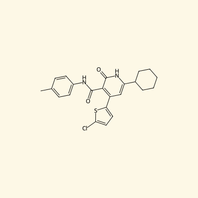 Cc1ccc(NC(=O)c2c(-c3ccc(Cl)s3)cc(C3CCCCC3)[nH]c2=O)cc1